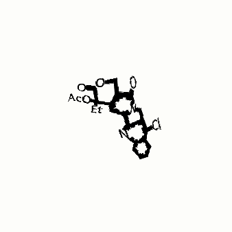 CCC1(OC(C)=O)C(=O)OCc2c1cc1n(c2=O)Cc2c-1nc1ccccc1c2Cl